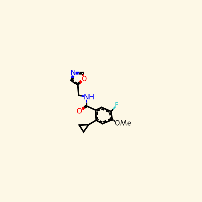 COc1cc(C2CC2)c(C(=O)NCc2cnco2)cc1F